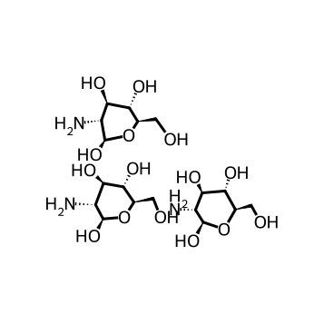 N[C@@H]1[C@@H](O)[C@H](O)[C@@H](CO)O[C@H]1O.N[C@@H]1[C@@H](O)[C@H](O)[C@@H](CO)O[C@H]1O.N[C@@H]1[C@@H](O)[C@H](O)[C@@H](CO)O[C@H]1O